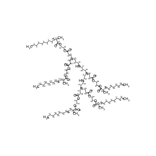 CCCCCCCCCSC(C)C(=O)OCCOC(=O)CCN(CCCNCCCN(CCNCCN(CCC(=O)OCCOC(=O)C(C)CSCCCCCCCC)CCC(=O)OCCOC(=O)C(C)SCCCCCCCCC)CCC(=O)OCCOC(=O)C(C)SCCCCCCC)CCC(=O)OCCOC(=O)C(C)CSCCCCCCCC